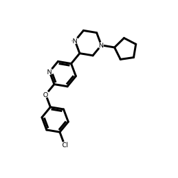 Clc1ccc(Oc2ccc(C3CN(C4CCCC4)CC[N]3)cn2)cc1